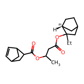 CCC1(OC(=O)CC(C)OC(=O)C2CC3C=CC2C3)CC2CC[C@@H]1C2